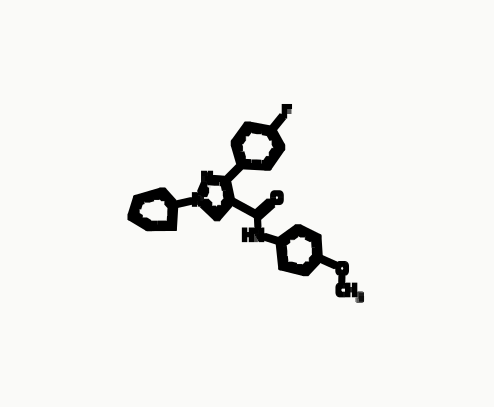 COc1ccc(NC(=O)c2cn(-c3ccccc3)nc2-c2ccc(F)cc2)cc1